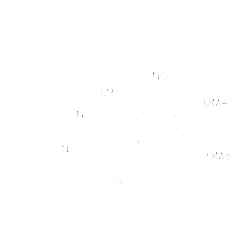 COc1cc(C(=O)c2nccn2C)cc([N+](=O)[O-])c1OC